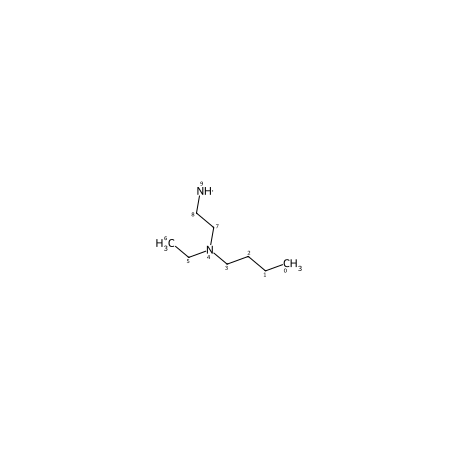 CCCCN(CC)CC[NH]